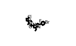 CCc1cc(C(=O)N2CCn3c(Cl)ccc3C2C)nc2cc(-c3ccc(Br)cc3F)nn12